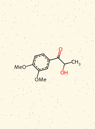 COc1ccc(C(=O)C(C)O)cc1OC